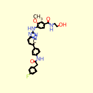 COc1cc(C(=O)NCCO)ccc1Nc1nc2ccc(-c3ccc(NC(=O)Cc4ccc(F)cc4)cc3)cn2n1